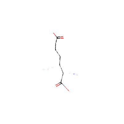 N[C@H](C(=O)O)[C@H](O)CCC(=O)O